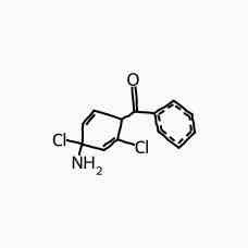 NC1(Cl)C=CC(C(=O)c2ccccc2)C(Cl)=C1